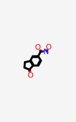 O=NC(=O)c1ccc2c(c1)CCC2=O